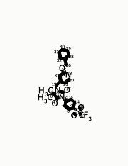 CC1(C)C(=O)N(c2ccc(S(=O)(=O)C(F)(F)F)cc2)C(=O)N1Cc1ccnc(OCc2ccccc2)c1